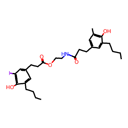 CCCCc1cc(CCC(=O)NCCOC(=O)CCc2cc(I)c(O)c(CCCC)c2)cc(C)c1O